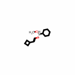 CO[SiH](OC=CC1CCC1)C1CCCCC1